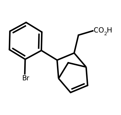 O=C(O)CC1C2C=CC(C2)C1c1ccccc1Br